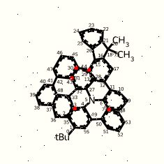 CC(C)(C)c1ccc(N(c2ccccc2-c2ccc3c(c2)C(C)(C)c2ccccc2-3)c2ccccc2-c2cccc3cccc(-c4ccccc4)c23)c(-c2ccccc2)c1